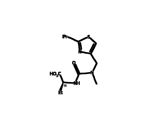 CC[C@H](NC(=O)N(C)Cc1csc(C(C)C)n1)C(=O)O